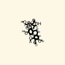 COCP(=O)(NC(C)(C(=O)O)C(C)C)Oc1cc(/C=C\c2cc(OC)c(OC)c(OC)c2)ccc1OC